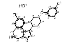 Cl.Clc1cccc(O[C@H]2CC[C@H](c3nnc4n3-c3ccc(Cl)cc3CNC4)CC2)c1